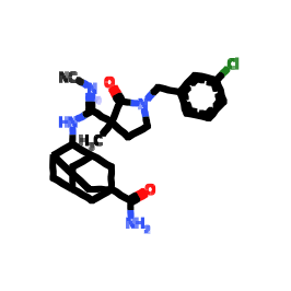 CC1(/C(=N/C#N)NC2C3CC4CC2CC(C(N)=O)(C4)C3)CCN(Cc2cccc(Cl)c2)C1=O